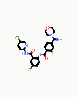 N=C(c1ccc(C(=O)Nc2ccc(Cl)cc2C(=O)Nc2ccc(Cl)cn2)c(F)c1)N1CCOCC1